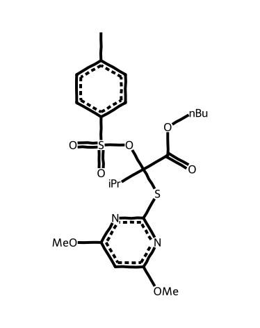 CCCCOC(=O)C(OS(=O)(=O)c1ccc(C)cc1)(Sc1nc(OC)cc(OC)n1)C(C)C